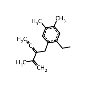 C=C=C(Cc1cc(C)c(C)cc1CI)C(=C)C